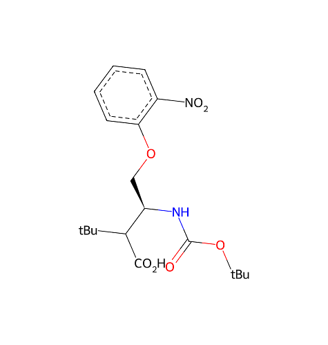 CC(C)(C)OC(=O)N[C@H](COc1ccccc1[N+](=O)[O-])C(C(=O)O)C(C)(C)C